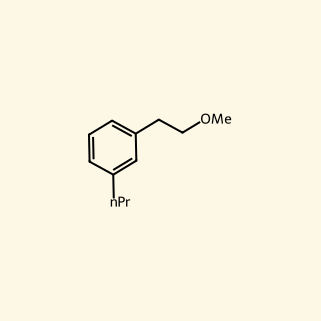 CCCc1cccc(CCOC)c1